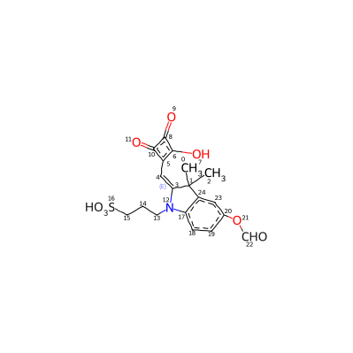 CC1(C)/C(=C\c2c(O)c(=O)c2=O)N(CCCS(=O)(=O)O)c2ccc(OC=O)cc21